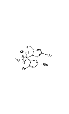 CC(C)C1=CC(C(C)(C)C)=C[CH]1[Zr]([Cl])([Cl])([CH]1C=C(C(C)(C)C)C=C1C(C)C)[SiH](C)C